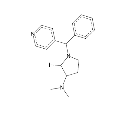 CN(C)C1CCN(C(c2ccccc2)c2ccncc2)C1I